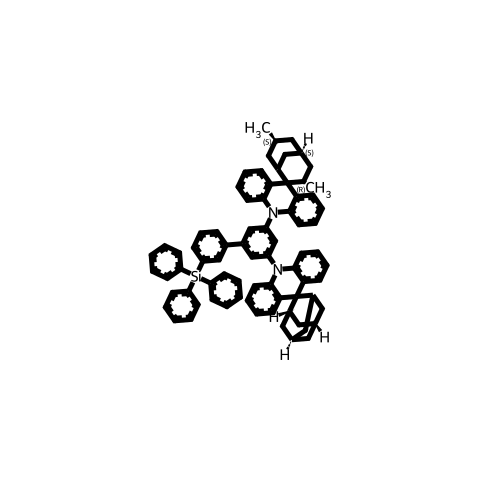 C[C@@H]1CC2C[C@@H](C1)C[C@@H](C)C21c2ccccc2N(c2cc(-c3cccc([Si](c4ccccc4)(c4ccccc4)c4ccccc4)c3)cc(N3c4ccccc4C4(c5ccccc53)C3C[C@H]5C[C@@H](C3)C[C@@H]4C5)c2)c2ccccc21